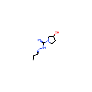 CC/C=N/NC(=N)N1CCC(O)C1